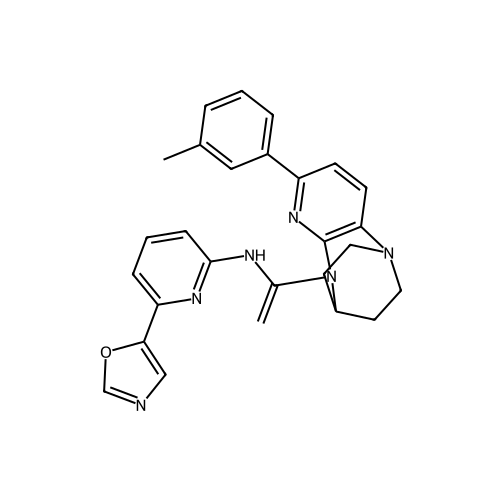 C=C(Nc1cccc(-c2cnco2)n1)N1c2nc(-c3cccc(C)c3)ccc2N2CCC1CC2